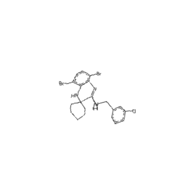 Clc1cccc(CNC2=Nc3c(Br)ccc(Br)c3NC23CCCCC3)c1